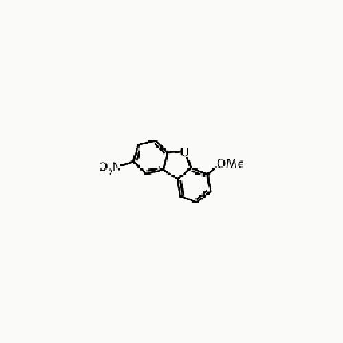 COc1cccc2c1oc1ccc([N+](=O)[O-])cc12